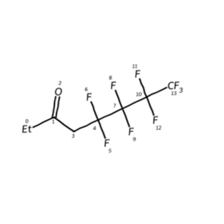 CCC(=O)CC(F)(F)C(F)(F)C(F)(F)C(F)(F)F